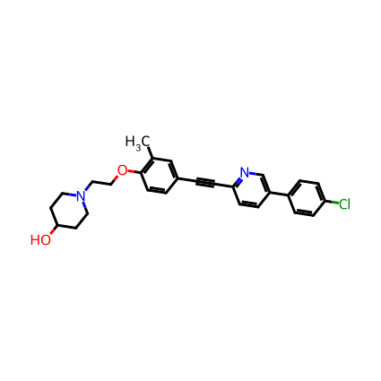 Cc1cc(C#Cc2ccc(-c3ccc(Cl)cc3)cn2)ccc1OCCN1CCC(O)CC1